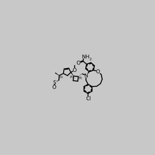 COC1([C@@H]2CC[C@H]2CN2Cc3ccc(Cl)cc3CCCCOc3ccc(C(N)=O)cc32)C=CC([C@H](C)C[S+]=O)C1